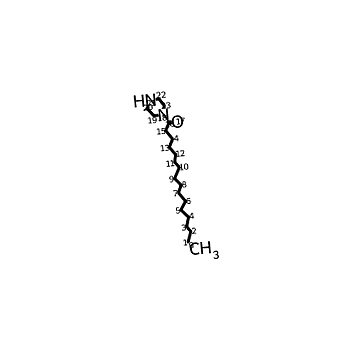 CCCCCCCCCCCCCCCCC(=O)N1CCNCC1